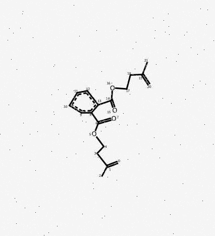 C=C(C)CCOC(=O)c1ccccc1C(=O)OCCC(=C)C